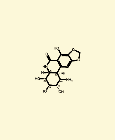 N[C@H]1[C@H](O)[C@@H](O)[C@@H](O)[C@@H]2NC(=O)c3c(cc4c(c3O)OCO4)[C@@H]12